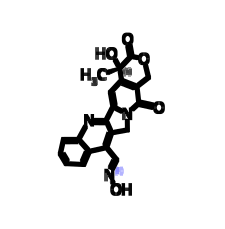 C[C@@]1(O)C(=O)OCc2c1cc1n(c2=O)Cc2c-1nc1ccccc1c2/C=N/O